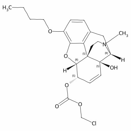 CCCCOc1ccc2c3c1O[C@H]1[C@@H](OC(=O)OCCl)C=C[C@@]4(O)[C@@H](C2)N(C)CC[C@]314